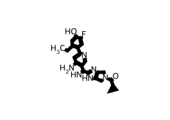 CCc1cc(O)c(F)cc1-c1cc(N)c(C(=N)c2nc3c([nH]2)CN(C(=O)C2CC2)C3)cn1